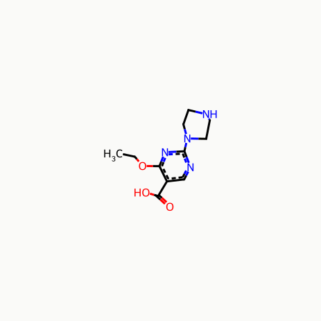 CCOc1nc(N2CCNCC2)ncc1C(=O)O